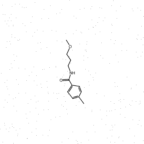 COCCCNC(=O)c1ccc(C)cc1